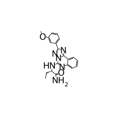 CC[C@@H](Nc1nc2ccccc2c2nc(-c3cccc(OC)c3)nn12)C(N)=O